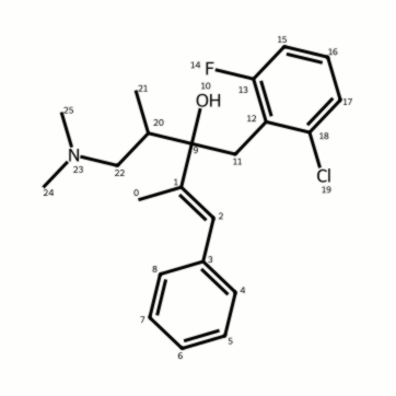 CC(=Cc1ccccc1)C(O)(Cc1c(F)cccc1Cl)C(C)CN(C)C